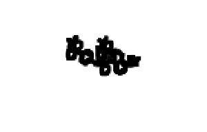 CC(C)(C)OC(=O)c1ccc(CNC(=O)C2c3cccc(Br)c3CCN2C(=O)OC(C)(C)C)cc1